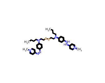 CCCCN(CCSSCCN(CCCC)c1ccc(NNc2cc[n+](C)cc2)cc1)c1ccc(/N=N\c2cc[n+](C)cc2)cc1